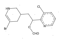 O=COC(CC1CNC=C(Br)C1)c1ncccc1Cl